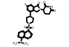 CN(C)c1cccc2c(S(=O)(=O)N3CCC(c4cc(F)cc5c4CN(C4CCC(=O)NC4=O)C5=O)CC3)cccc12